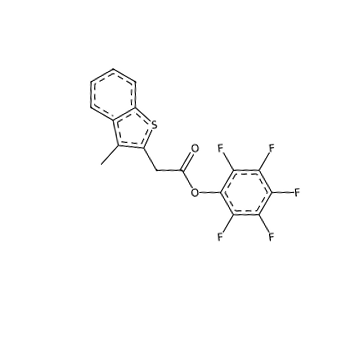 Cc1c(CC(=O)Oc2c(F)c(F)c(F)c(F)c2F)sc2ccccc12